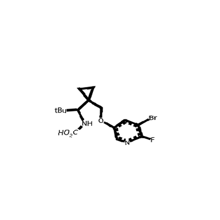 CC(C)(C)C(NC(=O)O)C1(COc2cnc(F)c(Br)c2)CC1